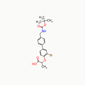 CC(Oc1ccc(-c2ccc(CNC(=O)OC(C)(C)C)cc2)cc1Br)C(=O)O